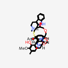 COc1c(C)cc2c(c1O)[C@H]1C3[C@@H]4SC[C@]5(C(=O)COC[C@@H](c6c7c(c(C)c(OC(C)=O)c64)OCO7)N3[C@@H](C#N)[C@@H](C2)N1C)c1[nH]c2ccccc2c1CCN5C